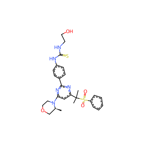 C[C@H]1COCCN1c1cc(C(C)(C)S(=O)(=O)c2ccccc2)nc(-c2ccc(NC(=S)NCCO)cc2)n1